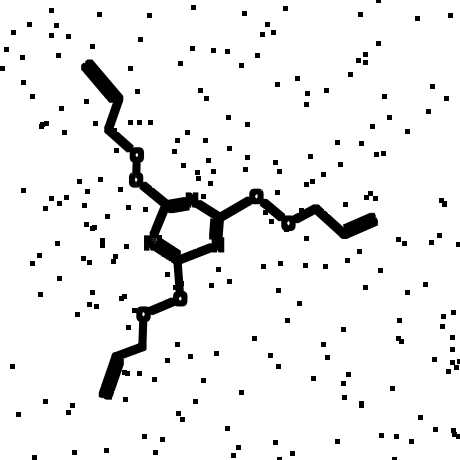 C=CCOOc1nc(OOCC=C)nc(OOCC=C)n1